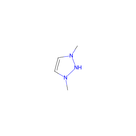 CN1C=CN(C)N1